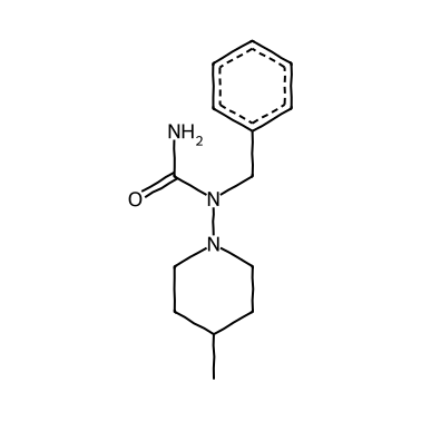 CC1CCN(N(Cc2ccccc2)C(N)=O)CC1